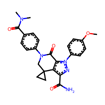 COc1ccc(-n2nc(C(N)=O)c3c2C(=O)N(c2ccc(C(=O)N(C)C)cc2)CC32CC2)cc1